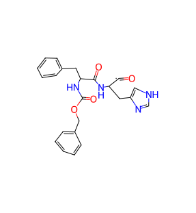 O=[C]C(Cc1c[nH]cn1)NC(=O)C(Cc1ccccc1)NC(=O)OCc1ccccc1